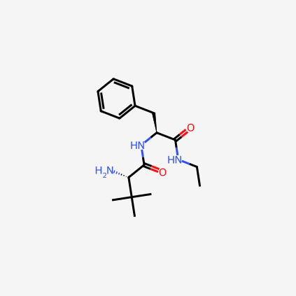 CCNC(=O)[C@H](Cc1ccccc1)NC(=O)[C@@H](N)C(C)(C)C